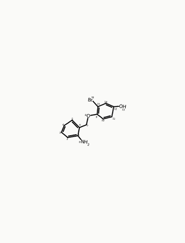 Nc1ccccc1COc1ccc(O)cc1Br